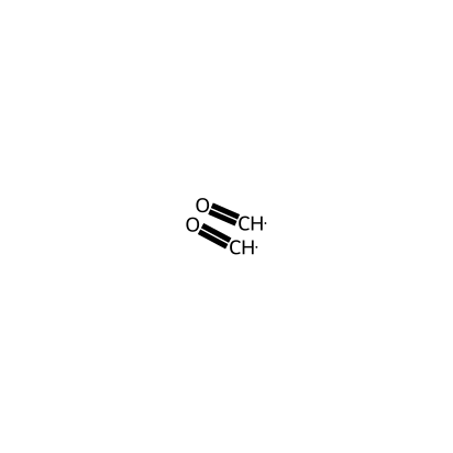 [CH]=O.[CH]=O